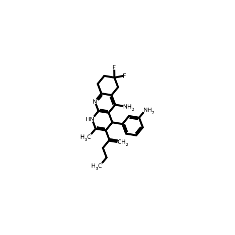 C=C(CCC)C1=C(C)Nc2nc3c(c(N)c2C1c1cccc(N)c1)CC(F)(F)CC3